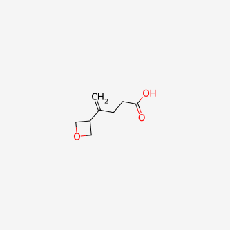 C=C(CCC(=O)O)C1COC1